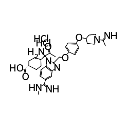 CNC(=N)c1ccc2c(c1)nc(COc1ccc(OC3CCN(C(C)=N)CC3)cc1)n2C(N)(C(C)=O)[C@H]1CC[C@H](C(=O)O)CC1.Cl.Cl